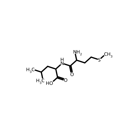 CSCCC(N)C(=O)NC(CC(C)C)C(=O)O